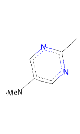 C[N]c1cnc(C)nc1